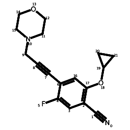 N#Cc1cc(F)c(C#CCN2CCOCC2)cc1OC1CC1